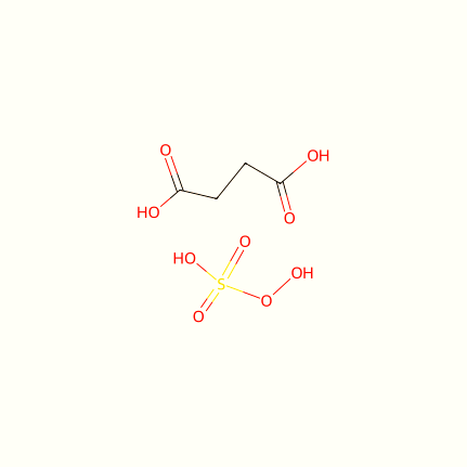 O=C(O)CCC(=O)O.O=S(=O)(O)OO